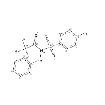 Cc1ccc(S(=O)(=O)N(Cc2ccccc2)C(=O)C(C)(C)C)cc1